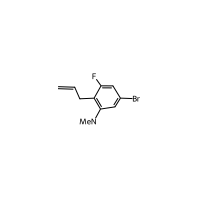 C=CCc1c(F)cc(Br)cc1NC